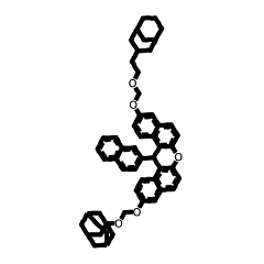 c1ccc2cc(C3c4c(ccc5cc(OCOCCC6CC7CCCC(C7)C6)ccc45)Oc4ccc5cc(OCOC67CC8CC(CC(C8)C6)C7)ccc5c43)ccc2c1